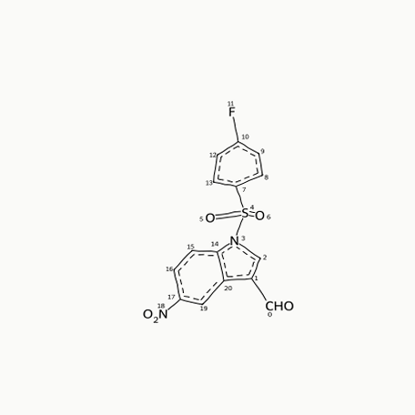 O=Cc1cn(S(=O)(=O)c2ccc(F)cc2)c2ccc([N+](=O)[O-])cc12